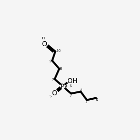 CCCCP(=O)(O)CCCC=O